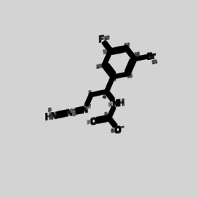 N=[N+]=NCC(NC(=O)[O-])c1cc(F)cc(Br)c1